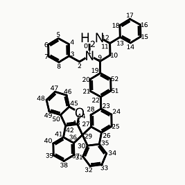 CN(Cc1ccccc1)C(CC(N)c1ccccc1)c1ccc(-c2ccc3c(c2)C2(c4ccccc4-3)c3ccccc3-c3c2oc2ccccc32)cc1